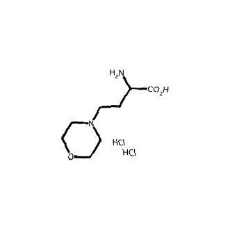 Cl.Cl.NC(CCN1CCOCC1)C(=O)O